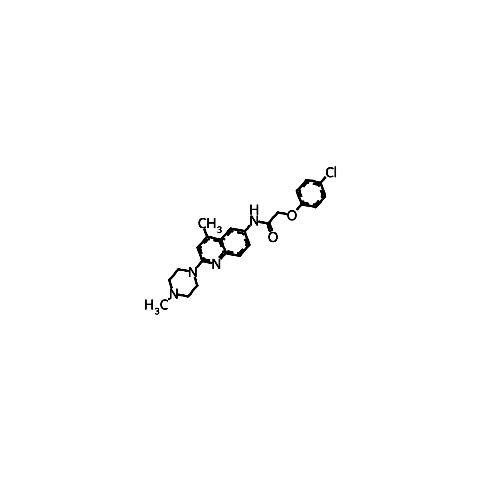 Cc1cc(N2CCN(C)CC2)nc2ccc(NC(=O)COc3ccc(Cl)cc3)cc12